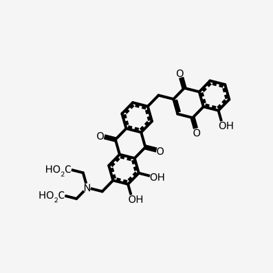 O=C(O)CN(CC(=O)O)Cc1cc2c(c(O)c1O)C(=O)c1cc(CC3=CC(=O)c4c(O)cccc4C3=O)ccc1C2=O